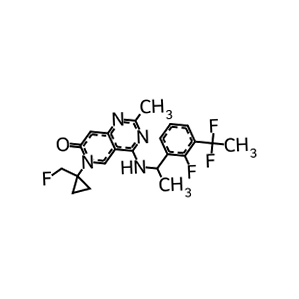 Cc1nc(NC(C)c2cccc(C(C)(F)F)c2F)c2cn(C3(CF)CC3)c(=O)cc2n1